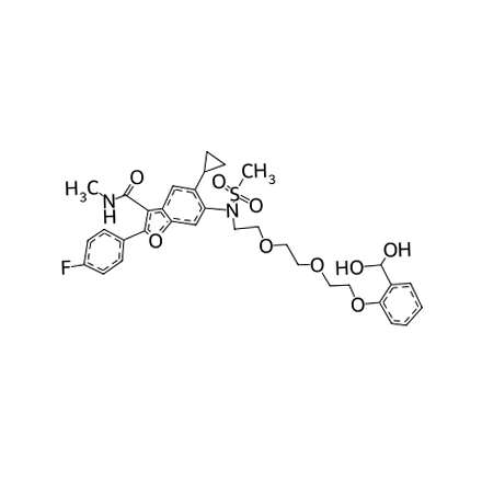 CNC(=O)c1c(-c2ccc(F)cc2)oc2cc(N(CCOCCOCCOc3ccccc3C(O)O)S(C)(=O)=O)c(C3CC3)cc12